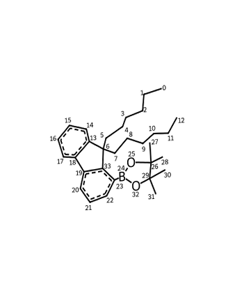 CCCCCCC1(CCCCCC)c2ccccc2-c2cccc(B3OC(C)(C)C(C)(C)O3)c21